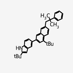 CC(C)(C)c1cc2cc(-c3cc(C(C)(C)C)c4ccc(CC(C)(C)c5ccccc5)cc4c3)ccc2[nH]1